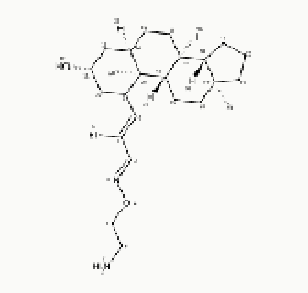 CCC(/C=N/OCCN)=C\C1C[C@H](O)C[C@H]2CC[C@H]3[C@@H]4CCC[C@@]4(C)CC[C@@H]3[C@@]12C